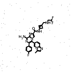 Cc1cnc2ccc(-c3c(-c4ccc(F)cc4)nc(N)c4nc(C(=O)NC56CC(CNCC(F)F)(C5)C6)cn34)cn12